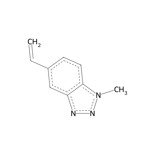 C=Cc1ccc2c(c1)nnn2C